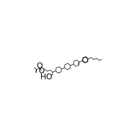 C=C(C)C(=O)OCCCC(CO)C1CCC(C2CCC(C3CC=C(c4ccc(CCCCC)cc4)CC3)CC2)CC1